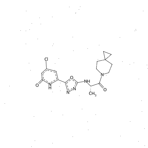 C[C@H](Nc1nnc(-c2cc(Cl)cc(=O)[nH]2)o1)C(=O)N1CCC2(CC1)CC2